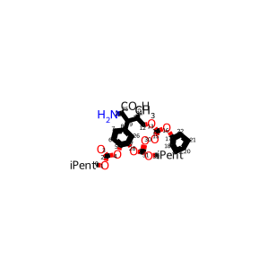 CCCC(C)OC(=O)Oc1ccc(C(C(C)COC(=O)Oc2ccccc2)[C@H](N)C(=O)O)cc1OC(=O)OC(C)CCC